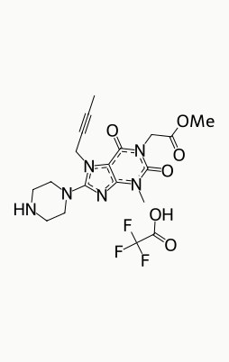 CC#CCn1c(N2CCNCC2)nc2c1c(=O)n(CC(=O)OC)c(=O)n2C.O=C(O)C(F)(F)F